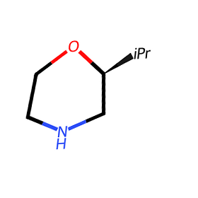 CC(C)[C@H]1CNCCO1